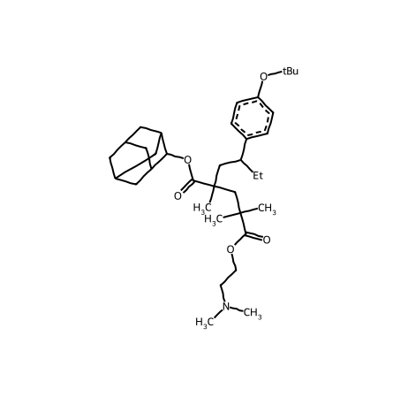 CCC(CC(C)(CC(C)(C)C(=O)OCCN(C)C)C(=O)OC1C2CC3CC(C2)CC1C3)c1ccc(OC(C)(C)C)cc1